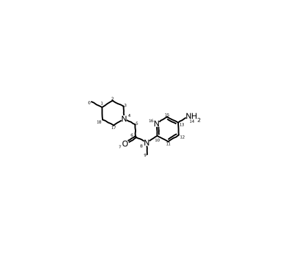 CC1CCN(CC(=O)N(C)c2ccc(N)cn2)CC1